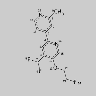 Cc1cc(-c2cc(C(F)F)c(OCCF)cn2)ccn1